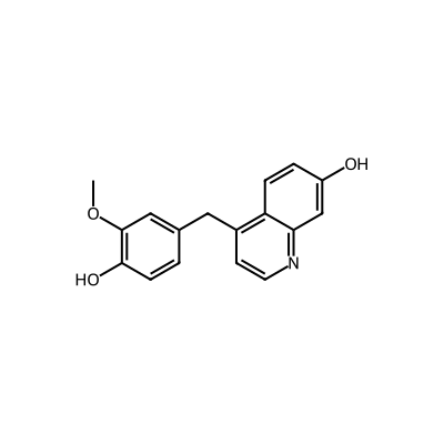 COc1cc(Cc2ccnc3cc(O)ccc23)ccc1O